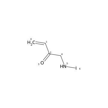 C=CC(=O)CNI